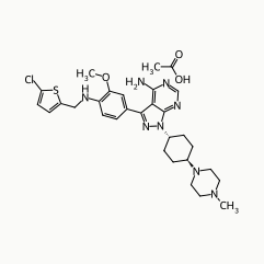 CC(=O)O.COc1cc(-c2nn([C@H]3CC[C@H](N4CCN(C)CC4)CC3)c3ncnc(N)c23)ccc1NCc1ccc(Cl)s1